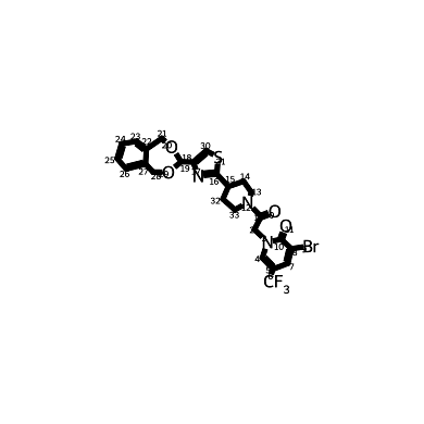 O=C(Cn1cc(C(F)(F)F)cc(Br)c1=O)N1CCC(c2nc(C3OCc4ccccc4CO3)cs2)CC1